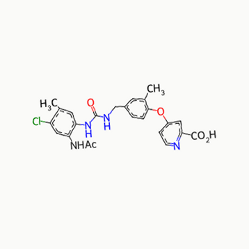 CC(=O)Nc1cc(Cl)c(C)cc1NC(=O)NCc1ccc(Oc2ccnc(C(=O)O)c2)c(C)c1